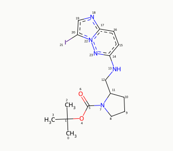 CC(C)(C)OC(=O)N1CCCC1CNc1ccc2ncc(I)n2n1